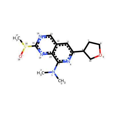 CN(C)c1nc(C2CCOC2)cc2cnc([S+](C)[O-])nc12